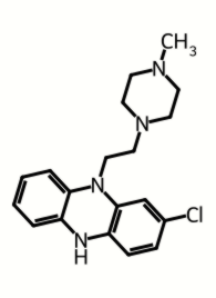 CN1CCN(CCN2c3ccccc3Nc3ccc(Cl)cc32)CC1